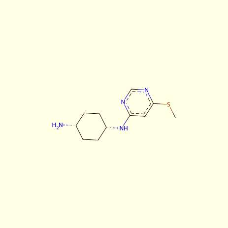 CSc1cc(N[C@H]2CC[C@@H](N)CC2)ncn1